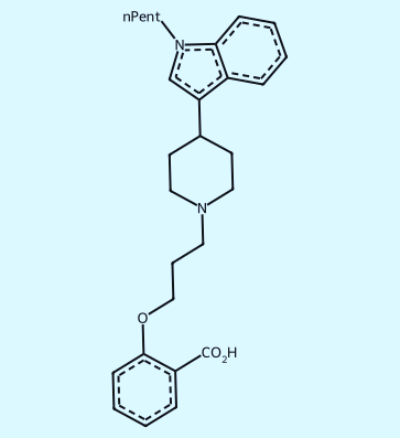 CCCCCn1cc(C2CCN(CCCOc3ccccc3C(=O)O)CC2)c2ccccc21